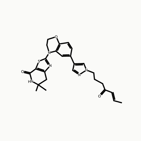 C/C=C/C(=O)CCCn1cc(-c2ccc3c(c2)N(c2nc4c(s2)C(=O)NC(C)(C)C4)CCO3)cn1